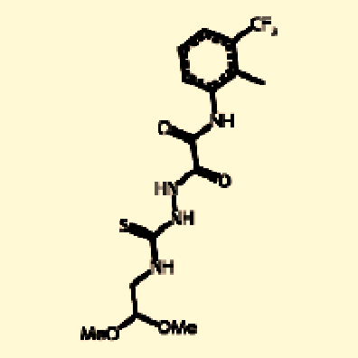 COC(CNC(=S)NNC(=O)C(=O)Nc1cccc(C(F)(F)F)c1C)OC